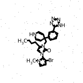 CCCCc1cn(-c2c(Br)ccn2C)c(=O)n1CC1(c2cccc(-c3nnn[nH]3)c2)C=CNC=C1